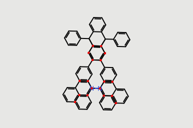 c1ccc(N(c2cccc(-c3ccc4c(c3)C3(c5ccccc5)c5ccccc5C4(c4ccccc4)c4cc(-c5cccc(N(c6ccccc6)c6ccc7ccccc7c6)c5)ccc43)c2)c2ccc3ccccc3c2)cc1